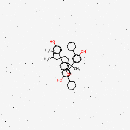 CCC(C)CC(CCCC(C)(c1ccc(O)c(C2CCCCC2)c1)c1ccc(O)c(C2CCCCC2)c1)(c1ccc(O)cc1)c1ccc(O)cc1